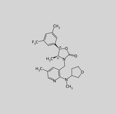 Cc1cc([C@H]2OC(=O)N(Cc3cc(C)cnc3N(C)C3CCOC3)[C@H]2C)cc(C(F)(F)F)c1